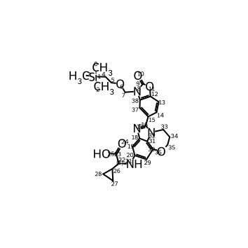 C[Si](C)(C)CCOCn1c(=O)oc2ccc(-c3nc4cc(N[C@H](C(=O)O)C5CC5)cc5c4n3CCCO5)cc21